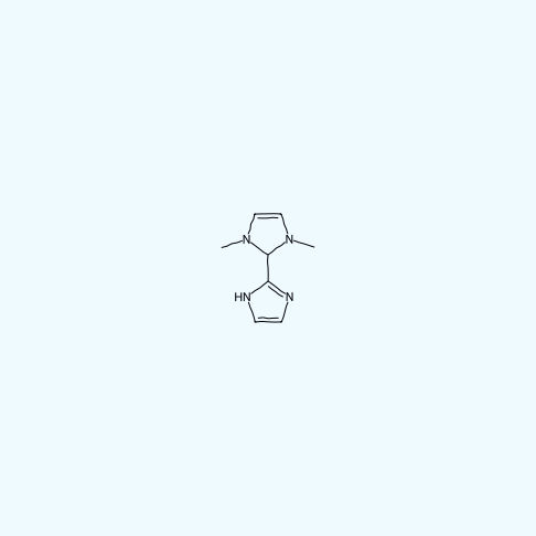 CN1C=CN(C)C1c1ncc[nH]1